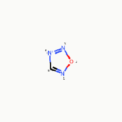 C1=NON=[N+]1